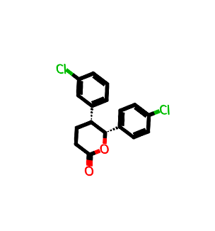 O=C1CC[C@H](c2cccc(Cl)c2)[C@H](c2ccc(Cl)cc2)O1